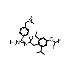 CCc1cc(OC(F)F)cc(C(C)C)c1CC(=O)/N=S(/N)c1ccc(CN(C)C)cc1